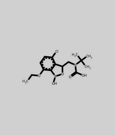 CCOc1ccc(Cl)c2c1B(O)OC2CN(C(=O)O)C(C)(C)C